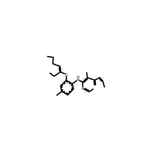 C=C(/C=C\C)/C(C)=C(\N=C/C)Nc1ccc(C)cc1O/C(=C/CCC)CC